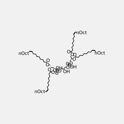 CCCCCCCC/C=C\CCCCCCCC(=O)OC[C@H](COP(=O)(O)OCC(O)COP(=O)(O)OC[C@@H](COC(=O)CCCCCCC/C=C\CCCCCCCC)OC(=O)CCCCCCC/C=C\CCCCCCCC)OC(=O)CCCCCCC/C=C\CCCCCCCC